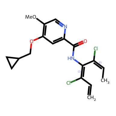 C=C/C(Cl)=C(NC(=O)c1cc(OCC2CC2)c(OC)cn1)\C(Cl)=C/C